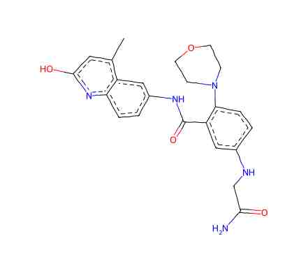 Cc1cc(O)nc2ccc(NC(=O)c3cc(NCC(N)=O)ccc3N3CCOCC3)cc12